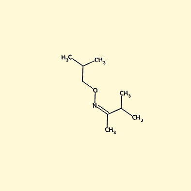 CC(=NOCC(C)C)C(C)C